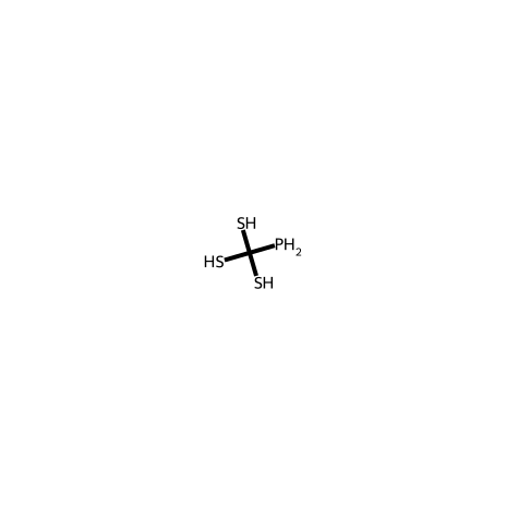 PC(S)(S)S